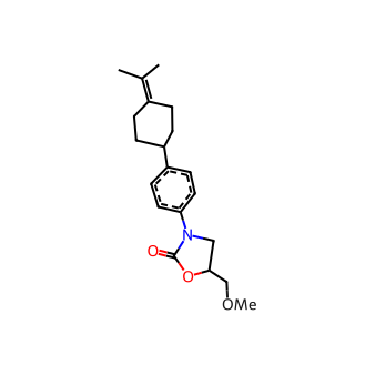 COCC1CN(c2ccc(C3CCC(=C(C)C)CC3)cc2)C(=O)O1